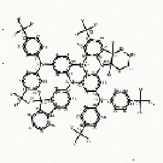 CC(C)(C)c1ccc(N(c2ccc(C(C)(C)C)cc2)c2ccc3c(c2)N(c2ccc4c(c2)C(C)(C)c2ccccc2-4)c2cc(N(c4ccc(C(C)(C)C)cc4)c4ccc(C(C)(C)C)cc4)cc4c2B3c2cc(C(C)(C)C)cc3c2N4C2(C)CCCCC32C)cc1